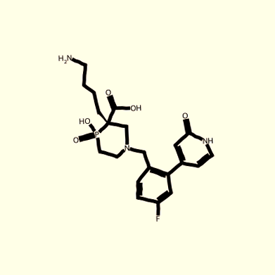 NCCCC[C@@]1(C(=O)O)CN(Cc2ccc(F)cc2-c2cc[nH]c(=O)c2)CCP1(=O)O